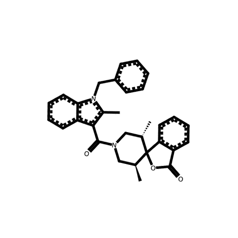 Cc1c(C(=O)N2C[C@H](C)C3(OC(=O)c4ccccc43)[C@@H](C)C2)c2ccccc2n1Cc1ccccc1